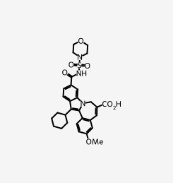 COc1ccc2c(c1)C=C(C(=O)O)Cn1c-2c(C2CCCCC2)c2ccc(C(=O)NS(=O)(=O)N3CCOCC3)cc21